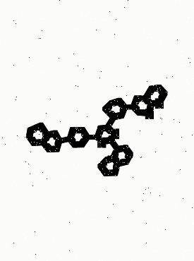 c1cc(-c2cnc3ncccc3c2)cc(-c2cc(-c3ccc(-c4ccc5ccccc5c4)cc3)nc(-c3cccc4ccccc34)n2)c1